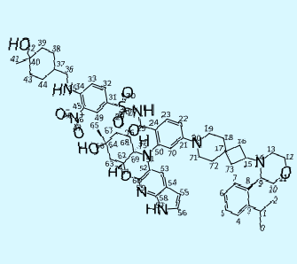 CC(C)c1ccccc1[C@@H]1COCCN1C1CC2(CCN(c3ccc(C(=O)NS(=O)(=O)c4ccc(NCC5CCC(C)(O)CC5)c([N+](=O)[O-])c4)c(N4c5cc6cc[nH]c6nc5O[C@@H]5C[C@](C)(O)CC[C@H]54)c3)CC2)C1